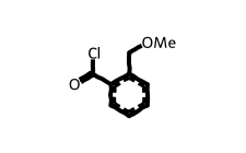 COCc1ccccc1C(=O)Cl